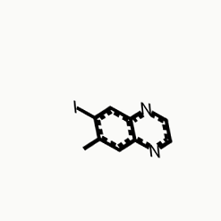 Cc1cc2nccnc2cc1I